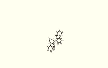 c1ccc2c(c1)oc1c(-c3cccc4c3sc3ccccc34)cccc12